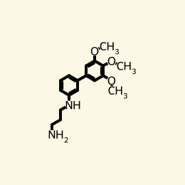 COc1cc(-c2cccc(NCCCN)c2)cc(OC)c1OC